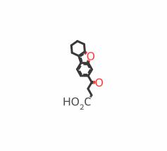 O=C(O)CCC(=O)c1ccc2c3c(oc2c1)CCCC3